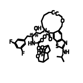 CC(C)Nc1nc2cc3c(cc2s1)S(=O)(=O)N(C[C@@H](O)[C@H](Cc1cc(F)cc(F)c1)NC(=O)O[C@H]1C2CO[C@H]4OC1CC4C2)CCCCCCCOC3